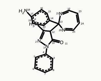 CC1=NN(c2ccccc2)C(=O)C1C1(c2ccc(N)cc2)N=CC=CC=N1